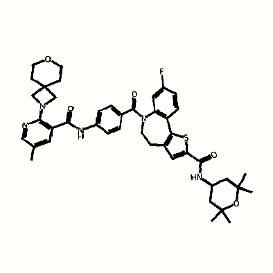 Cc1cnc(N2CC3(CCOCC3)C2)c(C(=O)Nc2ccc(C(=O)N3CCc4cc(C(=O)NC5CC(C)(C)OC(C)(C)C5)sc4-c4ccc(F)cc43)cc2)c1